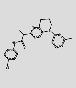 Cc1nccc(N2CCCc3nc(C(C)C(=O)Nc4ccc(Cl)cc4)ccc32)n1